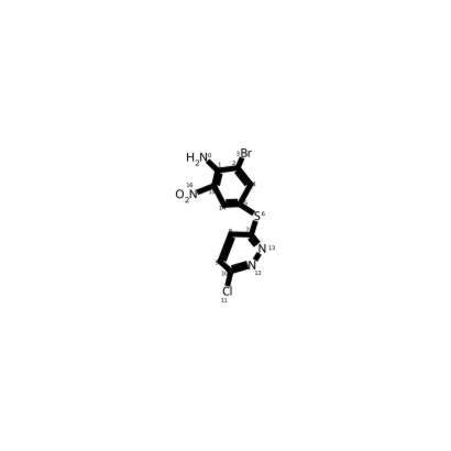 Nc1c(Br)cc(Sc2ccc(Cl)nn2)cc1[N+](=O)[O-]